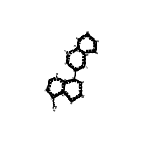 Clc1ccnc2c(-c3cnc4ccccc4c3)cccc12